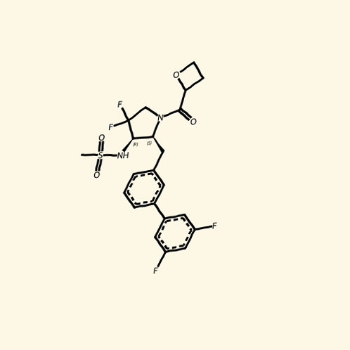 CS(=O)(=O)N[C@@H]1[C@H](Cc2cccc(-c3cc(F)cc(F)c3)c2)N(C(=O)C2CCO2)CC1(F)F